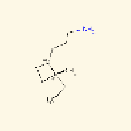 CC[C@]1(C)CC[C@@H]1CCCN